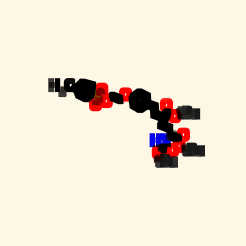 Cc1ccc(S(=O)(=O)OCCOc2ccc(CCC(CC[C@H](NC(=O)OC(C)(C)C)C(=O)OC(C)(C)C)C(=O)OC(C)(C)C)cc2)cc1